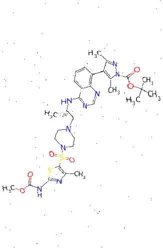 COC(=O)Nc1nc(C)c(S(=O)(=O)N2CCN(C[C@H](C)Nc3ncnc4c(-c5c(C)nn(C(=O)OC(C)(C)C)c5C)cccc34)CC2)s1